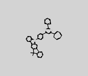 CC1(C)c2ccccc2-c2cc3c(cc21)c1ccccc1n3-c1ccc(-c2cc(C3=CC=CC=CC3)nc(-c3ccccc3)n2)cc1